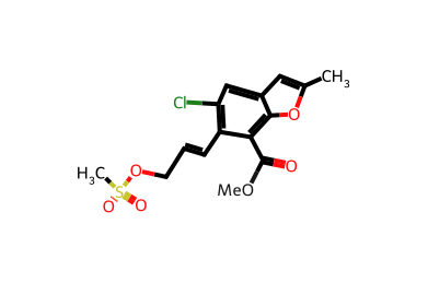 COC(=O)c1c(C=CCOS(C)(=O)=O)c(Cl)cc2cc(C)oc12